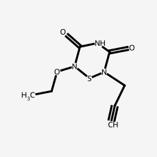 C#CCN1SN(OCC)C(=O)NC1=O